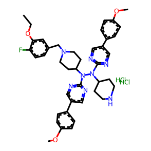 CCOc1cc(CN2CCC(N(c3ncc(-c4ccc(OC)cc4)cn3)N(c3ncc(-c4ccc(OC)cc4)cn3)C3CCNCC3)CC2)ccc1F.Cl.Cl